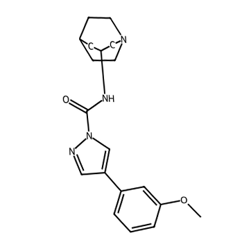 COc1cccc(-c2cnn(C(=O)NC3CC4CCN(CC4)C3)c2)c1